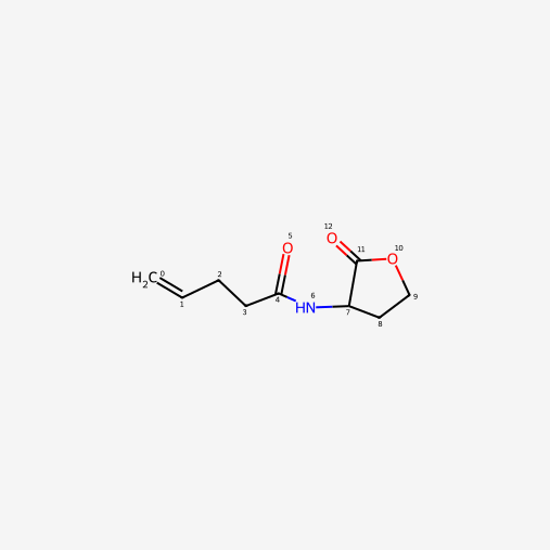 C=CCCC(=O)NC1CCOC1=O